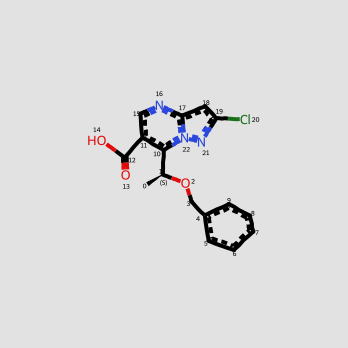 C[C@H](OCc1ccccc1)c1c(C(=O)O)cnc2cc(Cl)nn12